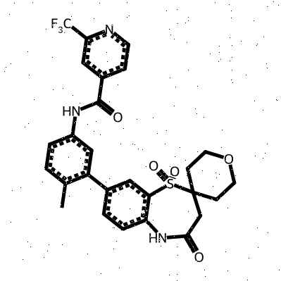 Cc1ccc(NC(=O)c2ccnc(C(F)(F)F)c2)cc1-c1ccc2c(c1)S(=O)(=O)C1(CCOCC1)CC(=O)N2